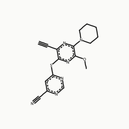 C#Cc1nc(N2CCCCC2)c(OC)nc1Sc1cc(C#N)ncn1